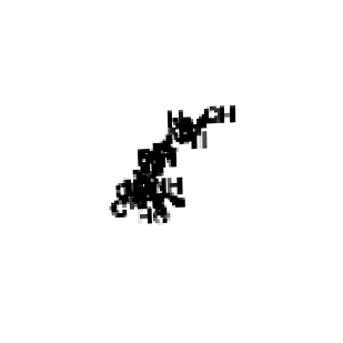 CCC[C@@H](CCO)Nc1nc(NC(=O)OC)nc2cnn(Cc3ncc(CN4C[C@@H]5C[C@H]4CN5CCO)cc3OC)c12